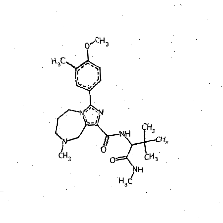 CNC(=O)C(NC(=O)c1nc(-c2ccc(OC)c(C)c2)n2c1CN(C)CCC2)C(C)(C)C